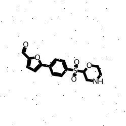 O=Cc1ccc(-c2ccc(S(=O)(=O)C3CNCCO3)cc2)o1